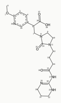 COc1ccc(C(CN2CCN(CCCC(=O)NC3=NCCCN3)C2=O)C(=O)O)cn1